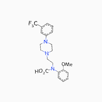 COc1ccccc1N(CCN1CCN(c2cccc(C(F)(F)F)c2)CC1)C(=O)O